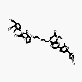 CCN1C(=O)CN(CCOCCO[C@@H]2CCN3C(=O)N(c4ccc(C#N)c(Cl)c4C)C(=O)[C@H]23)c2ncc(-c3ccc(-c4nc[nH]n4)nc3C)nc21